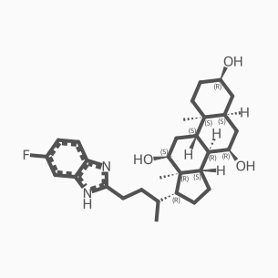 CC(CCc1nc2ccc(F)cc2[nH]1)[C@H]1CC[C@H]2[C@@H]3[C@H](O)C[C@@H]4C[C@H](O)CC[C@]4(C)[C@H]3C[C@H](O)[C@]12C